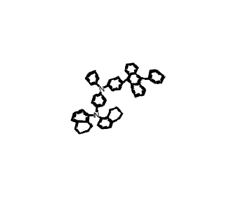 c1ccc(-c2c3ccccc3c(-c3ccc(N(c4ccccc4)c4ccc(N(c5cccc6c5CCCC6)c5cccc6c5CCCC6)cc4)cc3)c3ccccc23)cc1